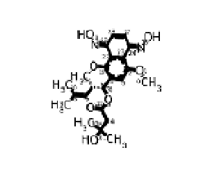 COc1cc([C@@H](CC=C(C)C)OC(=O)CC(C)(C)O)c(OC)c2c1C(=NO)C=CC2=NO